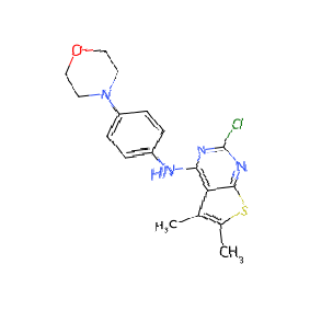 Cc1sc2nc(Cl)nc(Nc3ccc(N4CCOCC4)cc3)c2c1C